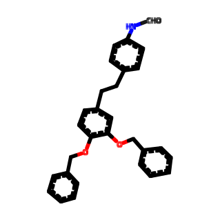 O=CNc1ccc(CCc2ccc(OCc3ccccc3)c(OCc3ccccc3)c2)cc1